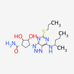 CCCSc1nc(NC(C)CCC)c2nnn([C@@H]3C[C@H](C(N)=O)[C@@H](O)[C@H]3O)c2n1